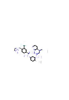 C=C(Nc1ccc(C)c(N/C(N)=C/C(=C\C)c2cccnc2)c1)c1ccc(CN2CCN2C)c(C(F)(F)F)c1